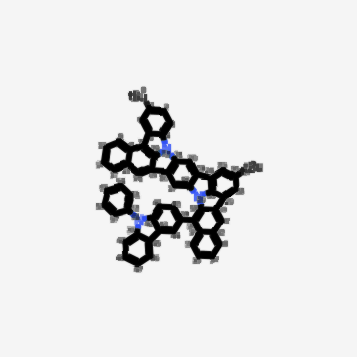 CC(C)(C)c1ccc2c(c1)c1c3ccccc3cc3c4cc5c(cc4n2c31)c1cc(C(C)(C)C)cc2c3cc4ccccc4c(-c4ccc6c(c4)c4ccccc4n6-c4ccccc4)c3n5c12